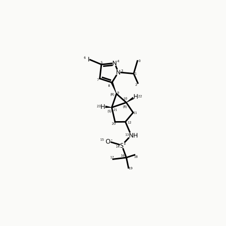 CC(C)n1nc(I)cc1[C@H]1[C@@H]2CC(N[S+]([O-])C(C)(C)C)C[C@@H]21